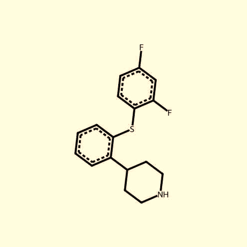 Fc1ccc(Sc2ccccc2C2CCNCC2)c(F)c1